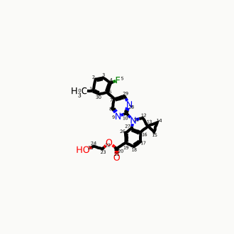 Cc1ccc(F)c(-c2cnc(N3CC4(CC4)c4ccc(C(=O)OCCO)cc43)nc2)c1